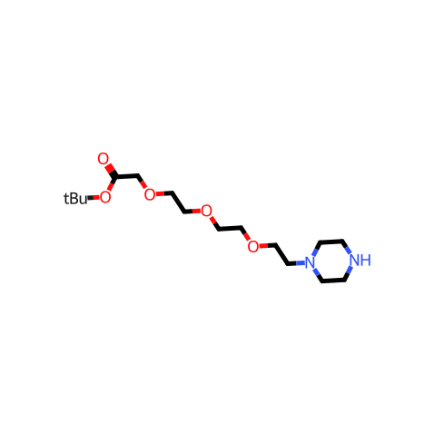 CC(C)(C)OC(=O)COCCOCCOCCN1CCNCC1